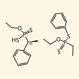 CCOP(=S)(CC)Sc1ccccc1.CCOP(=S)(S)[C@@H](C)c1ccccc1